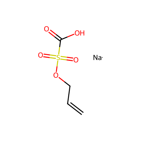 C=CCOS(=O)(=O)C(=O)O.[Na]